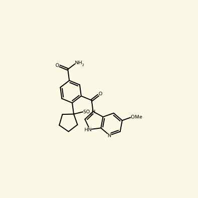 COc1cnc2[nH]cc(C(=O)c3cc(C(N)=O)ccc3C3(S(=O)(=O)O)CCCC3)c2c1